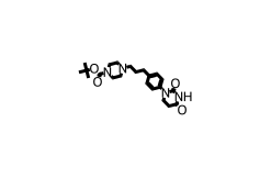 CC(C)(C)OC(=O)N1CCN(CCCc2ccc(N3CCC(=O)NC3=O)cc2)CC1